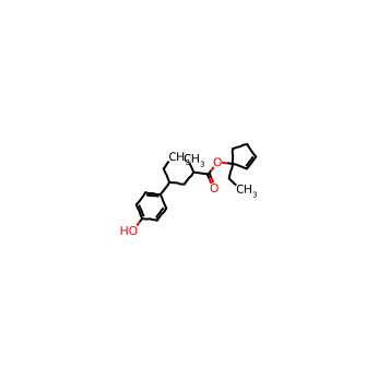 CCC(CC(C)C(=O)OC1(CC)C=CCC1)c1ccc(O)cc1